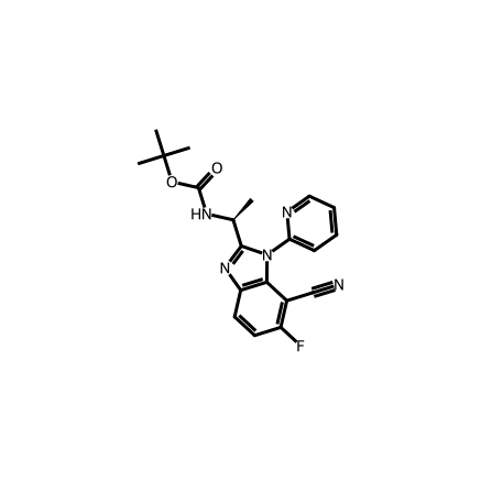 C[C@H](NC(=O)OC(C)(C)C)c1nc2ccc(F)c(C#N)c2n1-c1ccccn1